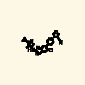 Cc1c(Nc2ncc3cc(Cl)c(C4CCN(C5COCC5C#N)CC4)cc3n2)cnn1C1CC1